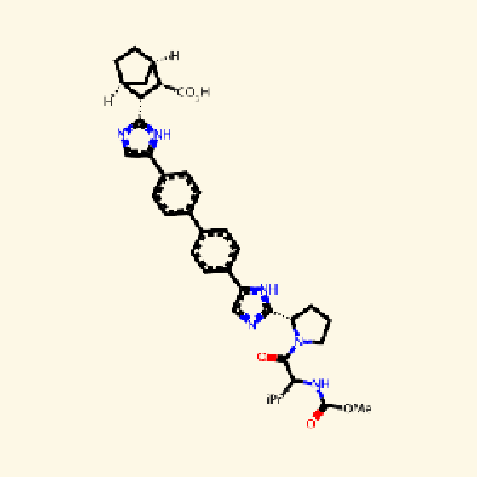 COC(=O)NC(C(=O)N1CCC[C@H]1c1ncc(-c2ccc(-c3ccc(-c4cnc([C@@H]5[C@H]6CC[C@H](C6)[C@H]5C(=O)O)[nH]4)cc3)cc2)[nH]1)C(C)C